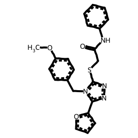 COc1ccc(Cn2c(SCC(=O)Nc3ccccc3)nnc2-c2ccco2)cc1